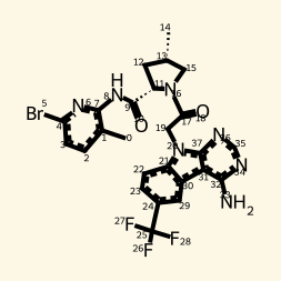 Cc1ccc(Br)nc1NC(=O)[C@@H]1C[C@H](C)CN1C(=O)Cn1c2ccc(C(F)(F)F)cc2c2c(N)ncnc21